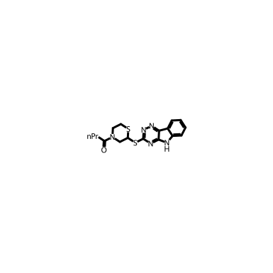 CCCC(=O)N1CCSC(Sc2nnc3c(n2)[nH]c2ccccc23)C1